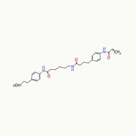 C=CC(=O)Nc1ccc(CCCC(=O)NCCCCCC(=O)Nc2ccc(CCCCCCCCCCCC)cc2)cc1